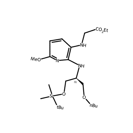 CCCCOC[C@@H](CO[Si](C)(C)C(C)(C)C)Nc1nc(OC)ccc1NCC(=O)OCC